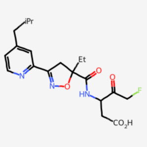 CCC1(C(=O)NC(CC(=O)O)C(=O)CF)CC(c2cc(CC(C)C)ccn2)=NO1